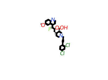 COc1ccc2nccc([C@@H](F)CC[C@@H]3CCN(CC#Cc4ccc(Cl)cc4Cl)C[C@@H]3C(=O)O)c2c1